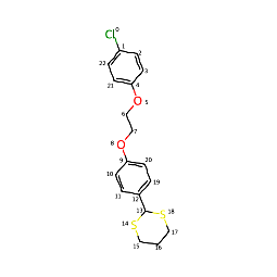 Clc1ccc(OCCOc2ccc(C3SCCCS3)cc2)cc1